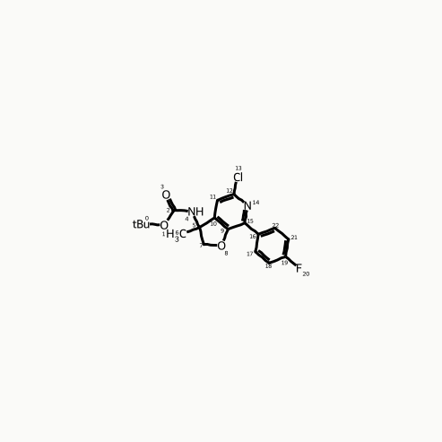 CC(C)(C)OC(=O)NC1(C)COc2c1cc(Cl)nc2-c1ccc(F)cc1